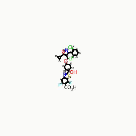 O=C(O)c1c(F)cc2nc([C@]3(O)CC[C@@H](OCc4c(-c5c(Cl)cccc5Cl)noc4C4CC4)CC3)sc2c1F